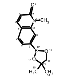 Cn1c(=O)ccc2ccc(B3OCC(C)(C)O3)cc21